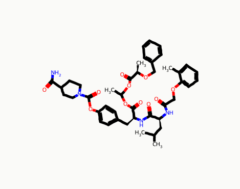 Cc1ccccc1OCC(=O)N[C@@H](CC(C)C)C(=O)N[C@@H](Cc1ccc(OC(=O)N2CCC(C(N)=O)CC2)cc1)C(=O)OC(C)OC(=O)[C@@H](C)OCc1ccccc1